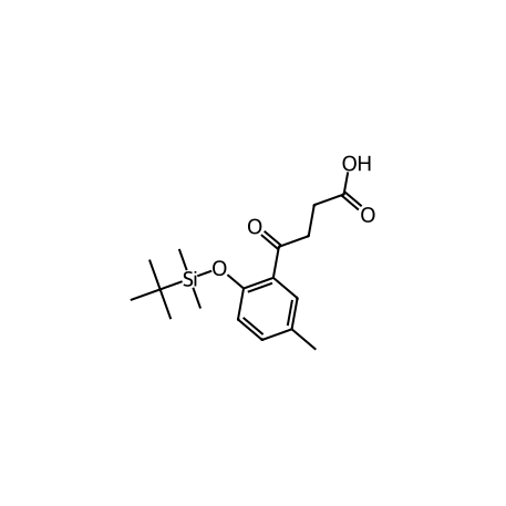 Cc1ccc(O[Si](C)(C)C(C)(C)C)c(C(=O)CCC(=O)O)c1